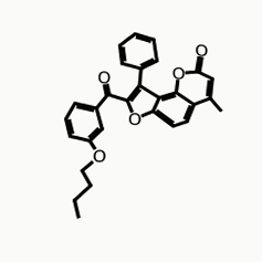 CCCCOc1cccc(C(=O)c2oc3ccc4c(C)cc(=O)oc4c3c2-c2ccccc2)c1